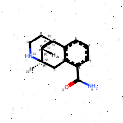 NC(=O)c1cccc2c1C[C@H]1NCC[C@@]23CCCC[C@@H]13